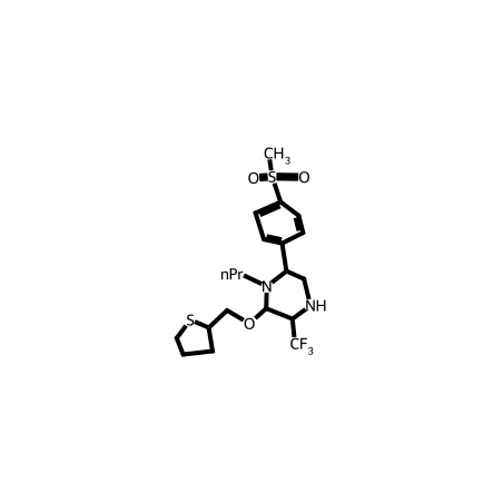 CCCN1C(c2ccc(S(C)(=O)=O)cc2)CNC(C(F)(F)F)C1OCC1CCCS1